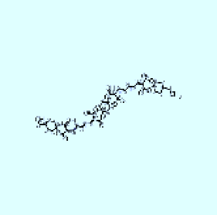 CCC1CCC2(CC1)OC(=O)C(=C/C=C/C=C/C1=C(O)OC3(CCC4(CC3)OC(=O)C(=C/C=C/C=C/C3=C(O)OC5(CCC(CC)CC5)OC3=O)C(=O)O4)OC1=O)C(=O)O2